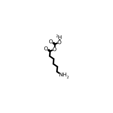 [2H]OC(=O)OC(=O)CCCCCN